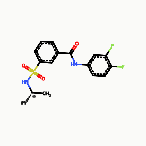 CC(C)[C@@H](C)NS(=O)(=O)c1cccc(C(=O)Nc2ccc(F)c(F)c2)c1